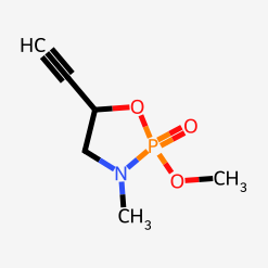 C#CC1CN(C)P(=O)(OC)O1